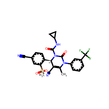 CC1=C(C#N)[C@@H](c2ccc(C#N)cc2S(C)(=O)=O)N(C(=O)NC2CC2)C(=O)N1c1cccc(C(F)(F)F)c1